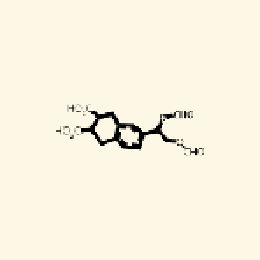 O=COCC(OC=O)c1ccc2c(c1)CC(C(=O)O)C(C(=O)O)C2